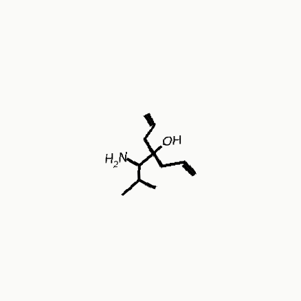 C=CCC(O)(CC=C)C(N)C(C)C